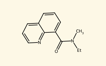 CCN(C)C(=O)c1cccc2cccnc12